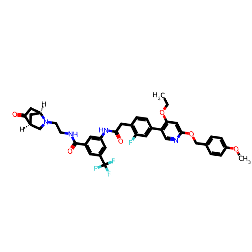 CCOc1cc(OCc2ccc(OC)cc2)ncc1-c1ccc(CC(=O)Nc2cc(C(=O)NCCN3C[C@@H]4C[C@H]3CC4=O)cc(C(F)(F)F)c2)c(F)c1